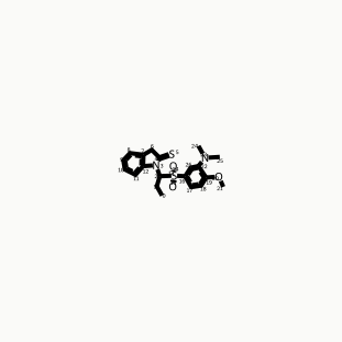 CCC(N1C(=S)Cc2ccccc21)S(=O)(=O)c1ccc(OC)c(N(C)C)c1